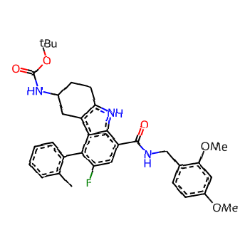 COc1ccc(CNC(=O)c2cc(F)c(-c3ccccc3C)c3c4c([nH]c23)CCC(NC(=O)OC(C)(C)C)C4)c(OC)c1